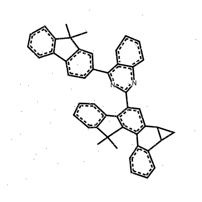 CC1(C)c2ccccc2-c2ccc(-c3nc(-c4cc5c(c6c4-c4ccccc4C6(C)C)-c4ccccc4C4CC54)nc4ccccc34)cc21